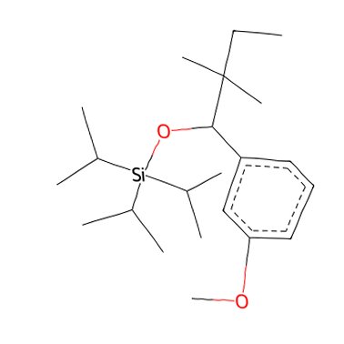 CCC(C)(C)C(O[Si](C(C)C)(C(C)C)C(C)C)c1cccc(OC)c1